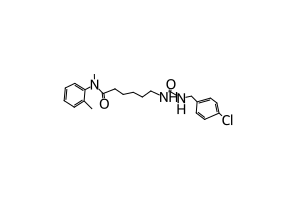 Cc1ccccc1N(C)C(=O)CCCCCNC(=O)NCc1ccc(Cl)cc1